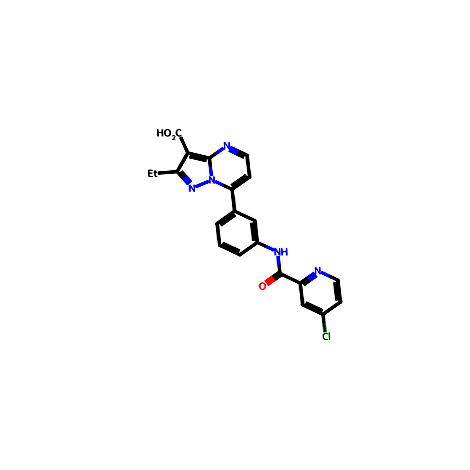 CCc1nn2c(-c3cccc(NC(=O)c4cc(Cl)ccn4)c3)ccnc2c1C(=O)O